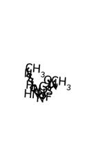 CCN1CC2(CC(c3ccc(Nc4ncc(F)c(-c5sc6c(c5C)C(=O)N(C)C65CC5)n4)nc3)C2)C1